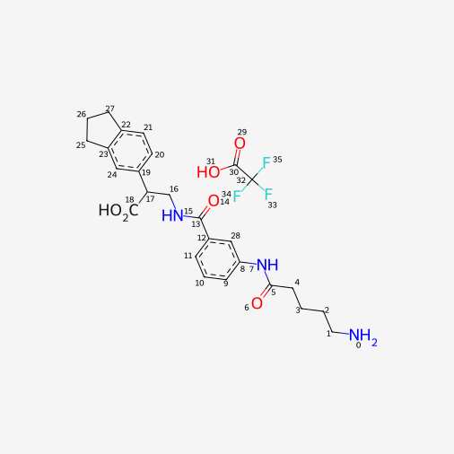 NCCCCC(=O)Nc1cccc(C(=O)NCC(C(=O)O)c2ccc3c(c2)CCC3)c1.O=C(O)C(F)(F)F